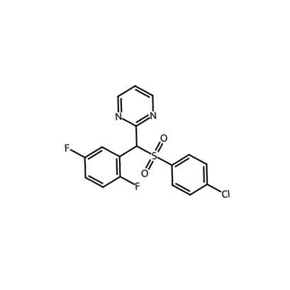 O=S(=O)(c1ccc(Cl)cc1)C(c1ncccn1)c1cc(F)ccc1F